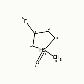 C[SH]1(=O)CCC(F)C1